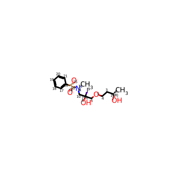 C[C@@H](O)CCOC[C@@](O)(I)CN(C)S(=O)(=O)c1ccccc1